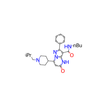 CCCCNC(=O)c1c(-c2ccccc2)nn2c(C3CCN(C[C](C)C)CC3)cc(=O)[nH]c12